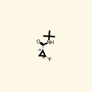 CC(C)(C)NC(=O)[C@H]1C[C@H]1F